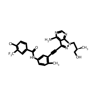 Cc1ccc(NC(=O)c2ccc(Cl)c(C(F)(F)F)c2)cc1C#Cc1nn(C[C@@H](C)CO)c2ncnc(N)c12